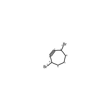 BrC1C#CC(Br)CCC1